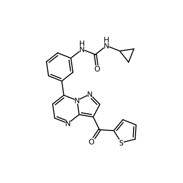 O=C(Nc1cccc(-c2ccnc3c(C(=O)c4cccs4)cnn23)c1)NC1CC1